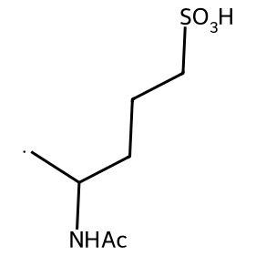 [CH2]C(CCCS(=O)(=O)O)NC(C)=O